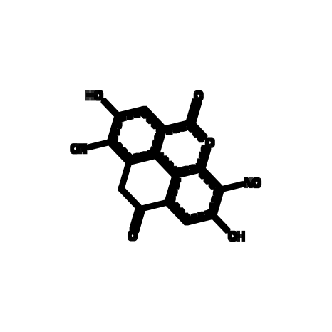 O=Nc1c(O)cc2c(=O)oc3c(N=O)c(O)cc4c3c2c1CC4=O